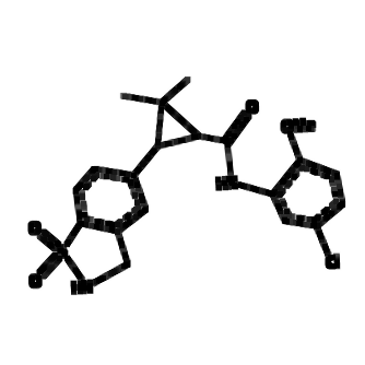 COc1ccc(Cl)cc1NC(=O)C1C(c2ccc3c(c2)CNS3(=O)=O)C1(C)C